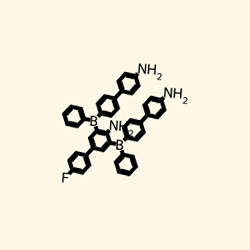 Nc1ccc(-c2ccc(B(c3ccccc3)c3cc(-c4ccc(F)cc4)cc(B(c4ccccc4)c4ccc(-c5ccc(N)cc5)cc4)c3N)cc2)cc1